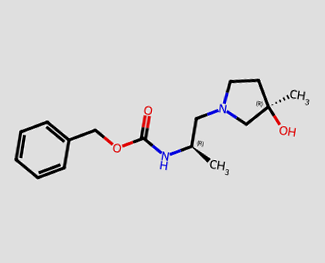 C[C@H](CN1CC[C@@](C)(O)C1)NC(=O)OCc1ccccc1